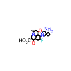 C[C@H]1CC(=O)c2c(N3CC(N)C4(CCC4)C3)c(F)cc3c(=O)c(C(=O)O)cn1c23